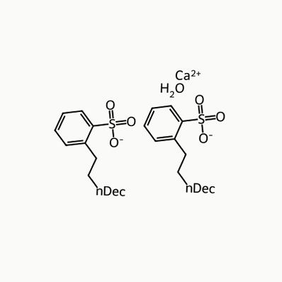 CCCCCCCCCCCCc1ccccc1S(=O)(=O)[O-].CCCCCCCCCCCCc1ccccc1S(=O)(=O)[O-].O.[Ca+2]